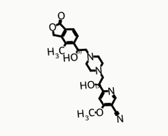 COc1cc([C@@H](O)CN2CCN(C[C@@H](O)c3ccc4c(c3C)COC4=O)CC2)ncc1C#N